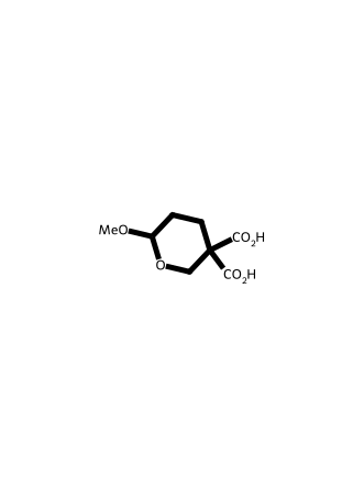 COC1CCC(C(=O)O)(C(=O)O)CO1